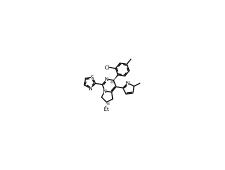 CC[C@H]1CC2=C(C3=NC(C)C=C3)[C@H](c3ccc(C)cc3Cl)N=C(c3nccs3)N2C1